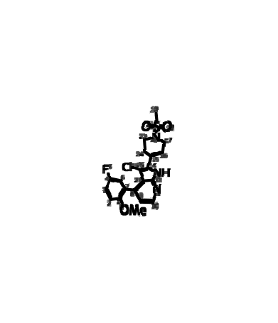 COc1ccc(F)cc1-c1ccnc2[nH]c(C3=CCN(S(C)(=O)=O)CC3)c(Cl)c12